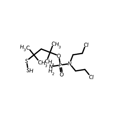 CC(C)(CC(C)(C)SS)OP(N)(=O)N(CCCl)CCCl